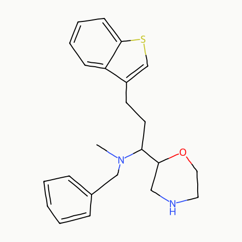 CN(Cc1ccccc1)C(CCc1csc2ccccc12)C1CNCCO1